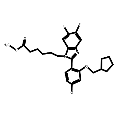 COC(=O)CCCCCn1c(-c2ccc(Cl)cc2OCC2CCCC2)nc2cc(F)c(F)cc21